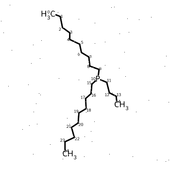 CCCCCCCCCCP(CCCC)CCCCCCCCCC